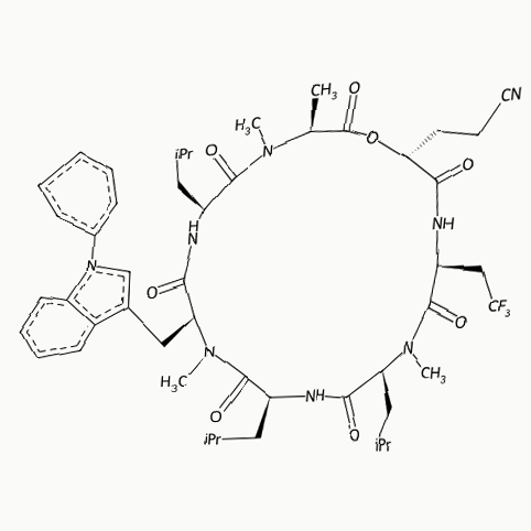 CC(C)C[C@@H]1NC(=O)[C@H](Cc2cn(-c3ccccc3)c3ccccc23)N(C)C(=O)[C@H](CC(C)C)NC(=O)[C@H](CC(C)C)N(C)C(=O)[C@H](CC(F)(F)F)NC(=O)[C@@H](CCC#N)OC(=O)[C@H](C)N(C)C1=O